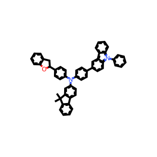 CC1(C)c2ccccc2-c2ccc(N(c3ccc(-c4ccc5c(c4)c4ccccc4n5-c4ccccc4)cc3)c3ccc(C4Cc5ccccc5O4)cc3)cc21